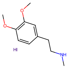 CNCCc1ccc(OC)c(OC)c1.I